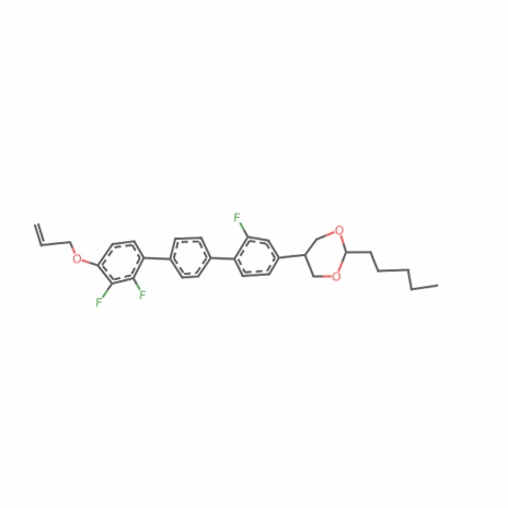 C=CCOc1ccc(-c2ccc(-c3ccc(C4COC(CCCCC)OC4)cc3F)cc2)c(F)c1F